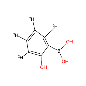 [2H]c1c([2H])c([2H])c(B(O)O)c(O)c1[2H]